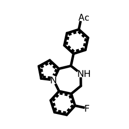 CC(=O)c1ccc(C2NCc3c(F)cccc3-n3cccc32)cc1